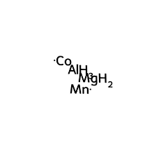 [AlH3].[Co].[MgH2].[Mn]